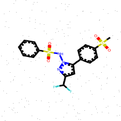 CS(=O)(=O)c1ccc(-c2cc(C(F)F)nn2NS(=O)(=O)c2ccccc2)cc1